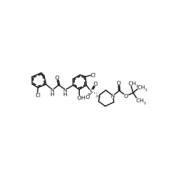 CC(C)(C)OC(=O)N1CCC[C@H](S(=O)(=O)c2c(Cl)ccc(NC(=O)Nc3ccccc3Cl)c2O)C1